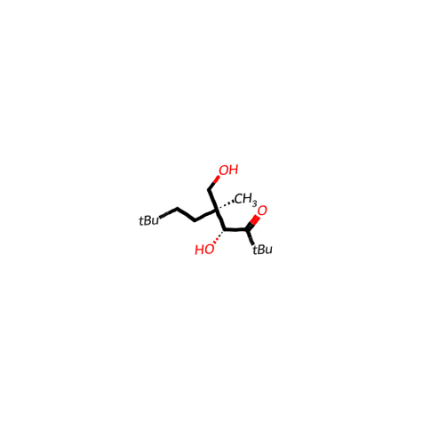 CC(C)(C)CC[C@@](C)(CO)[C@@H](O)C(=O)C(C)(C)C